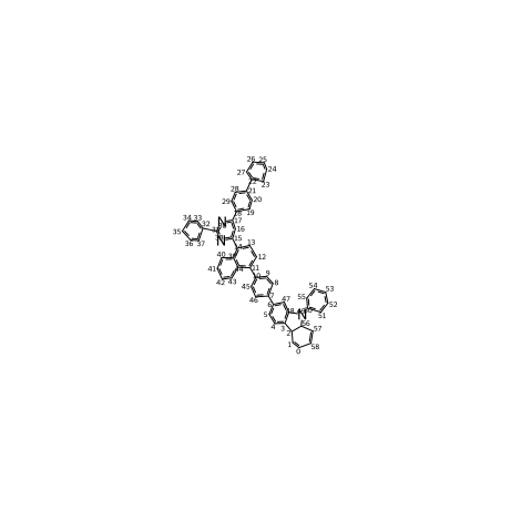 C1=CC2c3ccc(-c4ccc(-c5ccc(-c6cc(-c7ccc(-c8ccccc8)cc7)nc(-c7ccccc7)n6)c6ccccc56)cc4)cc3N(c3ccccc3)C2C=C1